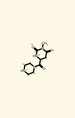 CN1C(=O)CC(C(=O)N2CCNCC2)NC1=O